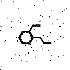 C=CCc1ncccc1C=C